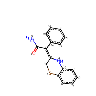 NC(=O)C(=C1CSc2ccccc2N1)c1ccccc1